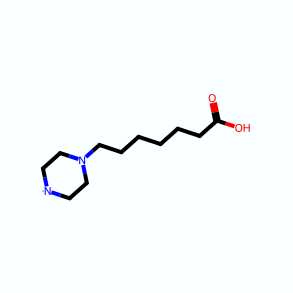 O=C(O)CCCCCCN1CC[N]CC1